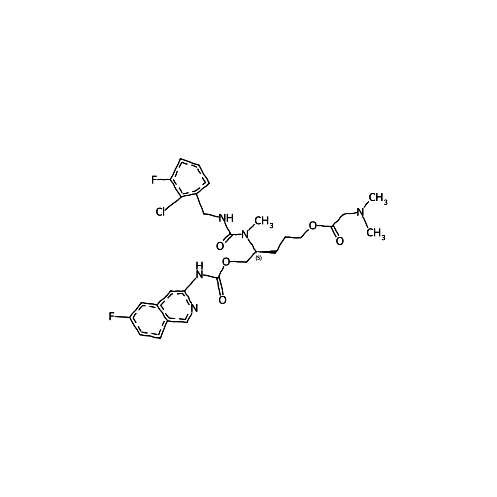 CN(C)CC(=O)OCCC[C@@H](COC(=O)Nc1cc2cc(F)ccc2cn1)N(C)C(=O)NCc1cccc(F)c1Cl